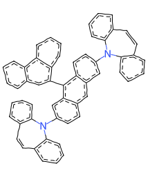 C1=Cc2ccccc2N(c2ccc3c(-c4cc5ccccc5c5ccccc45)c4cc(N5c6ccccc6C=Cc6ccccc65)ccc4cc3c2)c2ccccc21